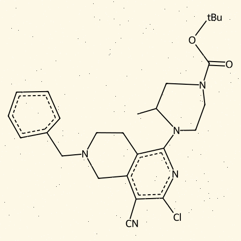 CC1CN(C(=O)OC(C)(C)C)CCN1c1nc(Cl)c(C#N)c2c1CCN(Cc1ccccc1)C2